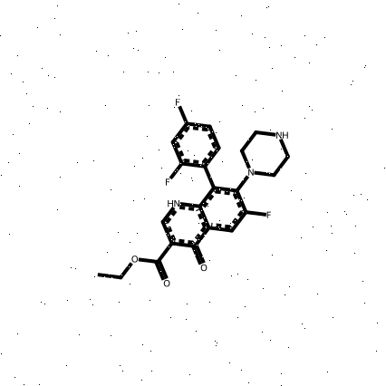 CCOC(=O)c1c[nH]c2c(-c3ccc(F)cc3F)c(N3CCNCC3)c(F)cc2c1=O